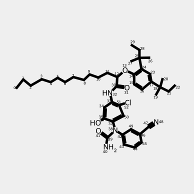 CCCCCCCCCCCCC(Oc1ccc(C(C)(C)CC)cc1C(C)(C)CC)C(=O)Nc1cc(O)c(N(C(N)=O)c2cccc(C#N)c2)cc1Cl